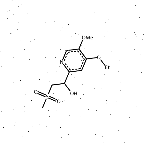 CCOc1cc(C(O)CS(C)(=O)=O)ncc1OC